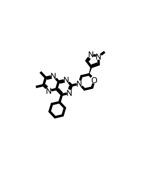 Cc1nc2nc(N3CCO[C@H](c4cnn(C)c4)C3)nc(C3CCCCC3)c2nc1C